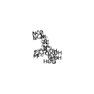 Cc1ncnc(C)c1C(=O)N1CCC(C)(N2CCN([C@@H](COC3OC(C(=O)O)C(O)C(O)C3O)c3ccc(C(F)(F)F)cc3)[C@@H](C)C2)CC1